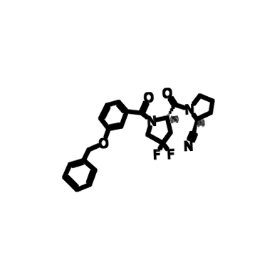 N#C[C@@H]1CCCN1C(=O)[C@@H]1CC(F)(F)CN1C(=O)c1cccc(OCc2ccccc2)c1